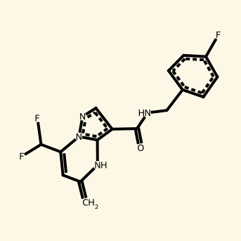 C=C1C=C(C(F)F)n2ncc(C(=O)NCc3ccc(F)cc3)c2N1